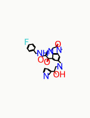 CN(Cc1cc2c3c(c1)c(=O)c(C(=O)NCc1ccc(F)cc1)cn3CC(=O)N2C)C[C@@H](O)c1cccnc1